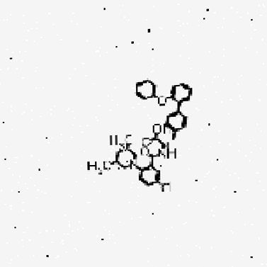 CC1CC(C)CN(c2ccc(Cl)cc2C(=O)N[C@@H](Cc2ccc(-c3ccccc3Oc3ccccc3)cc2)C(=O)O)C1